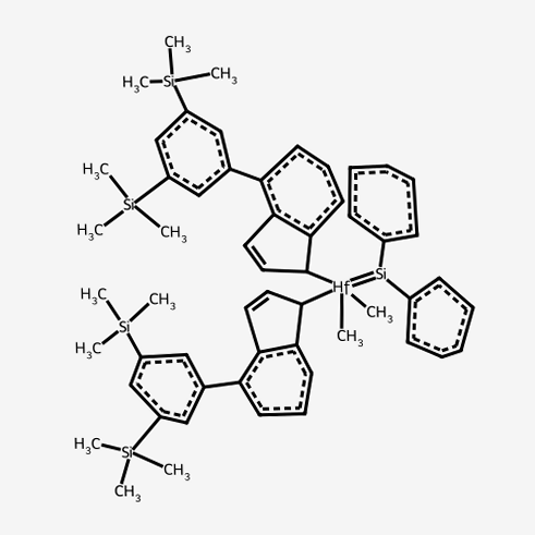 C[Si](C)(C)c1cc(-c2cccc3c2C=C[CH]3[Hf]([CH3])([CH3])([CH]2C=Cc3c(-c4cc([Si](C)(C)C)cc([Si](C)(C)C)c4)cccc32)=[Si](c2ccccc2)c2ccccc2)cc([Si](C)(C)C)c1